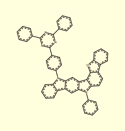 c1ccc(-c2nc(-c3ccccc3)nc(-c3ccc(-n4c5ccccc5c5cc6c(cc54)c4c5oc7ccccc7c5ccc4n6-c4ccccc4)cc3)n2)cc1